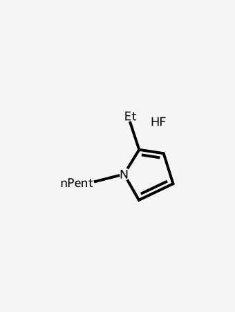 CCCCCn1cccc1CC.F